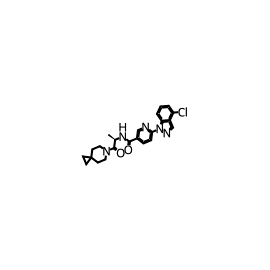 C[C@@H](NC(=O)c1ccc(-n2ncc3c(Cl)cccc32)nc1)C(=O)N1CCC2(CC1)CC2